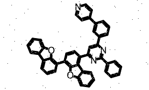 c1ccc(-c2nc(-c3cccc(-c4ccncc4)c3)cc(-c3ccc(-c4cccc5c4oc4ccccc45)c4oc5ccccc5c34)n2)cc1